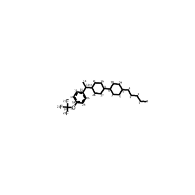 CCCCCC1CCC(C2CCC(C(C)c3ccc(OC(F)(F)F)cc3)CC2)CC1